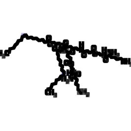 CCCCCCCC/C=C\CCCCCCCC(=O)OC[C@@H](COC(=O)C(CCCCNC(=O)CCC(=O)OCCNC(=O)C(N)CCCCN)NC(=O)CCC(=O)OCCNC(=O)C(N)CCCCN)OC(=O)CCCCCCC/C=C\CCCCCCCC